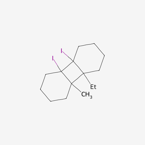 CCC12CCCCC1(I)C1(I)CCCCC12C